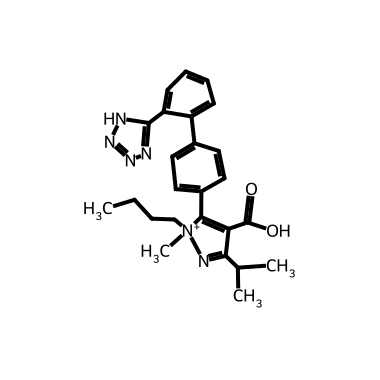 CCCC[N+]1(C)N=C(C(C)C)C(C(=O)O)=C1c1ccc(-c2ccccc2-c2nnn[nH]2)cc1